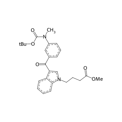 COC(=O)CCCn1cc(C(=O)c2cccc(N(C)C(=O)OC(C)(C)C)c2)c2ccccc21